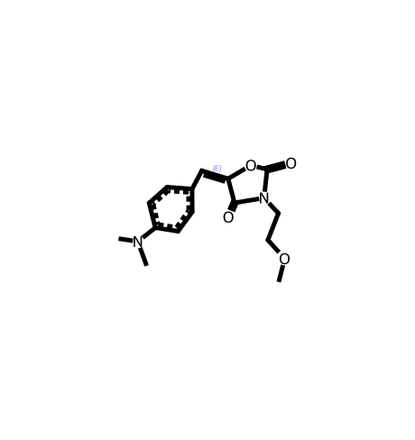 COCCN1C(=O)O/C(=C/c2ccc(N(C)C)cc2)C1=O